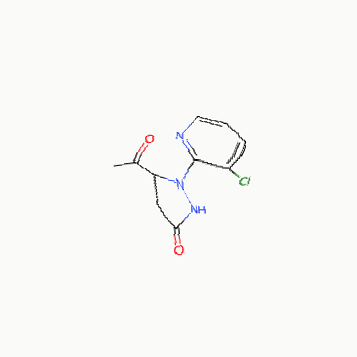 CC(=O)C1CC(=O)NN1c1ncccc1Cl